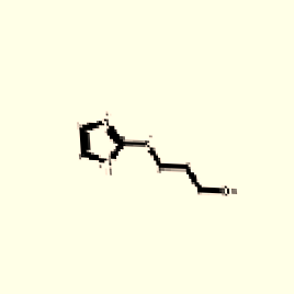 [O]CCCSc1ncc[nH]1